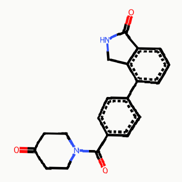 O=C1CCN(C(=O)c2ccc(-c3cccc4c3CNC4=O)cc2)CC1